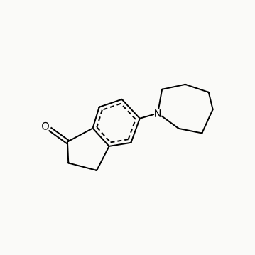 O=C1CCc2cc(N3CCCCCC3)ccc21